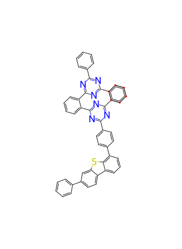 c1ccc(-c2ccc3c(c2)sc2c(-c4ccc(-c5nc(-c6ccccc6)nc(-c6ccccc6-c6nc(-c7ccccc7)nc(-c7ccccc7)n6)n5)cc4)cccc23)cc1